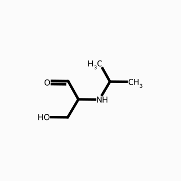 CC(C)NC(C=O)CO